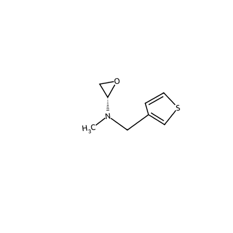 CN(Cc1ccsc1)[C@@H]1CO1